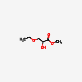 CCOCC(O)C(=O)OC